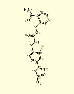 NC(=O)c1ncccc1COC(=O)NCc1ccc(-c2noc(C(F)(F)F)n2)cc1F